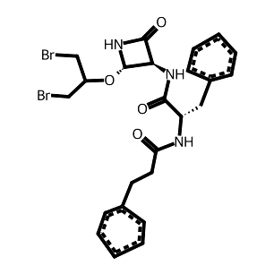 O=C(CCc1ccccc1)N[C@@H](Cc1ccccc1)C(=O)N[C@@H]1C(=O)N[C@H]1OC(CBr)CBr